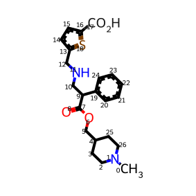 CN1CCC(COC(=O)C(CNCc2ccc(C(=O)O)s2)c2ccccc2)CC1